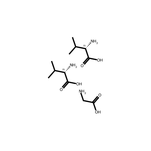 CC(C)[C@H](N)C(=O)O.CC(C)[C@H](N)C(=O)O.NCC(=O)O